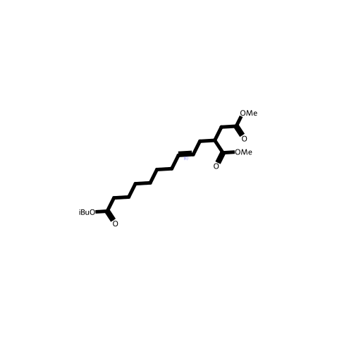 COC(=O)CC(C/C=C/CCCCCCC(=O)OCC(C)C)C(=O)OC